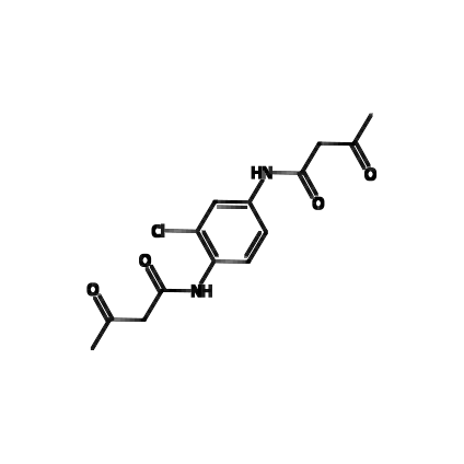 CC(=O)CC(=O)Nc1ccc(NC(=O)CC(C)=O)c(Cl)c1